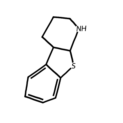 c1ccc2c(c1)SC1NCCCC21